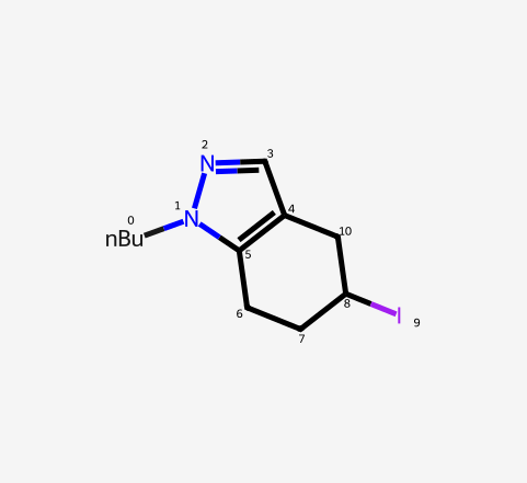 CCCCn1ncc2c1CCC(I)C2